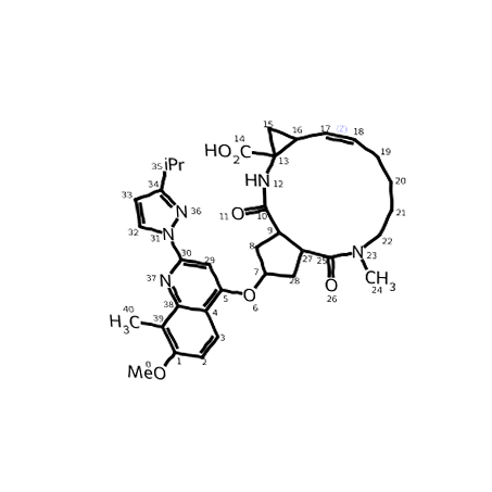 COc1ccc2c(OC3CC4C(=O)NC5(C(=O)O)CC5/C=C\CCCCN(C)C(=O)C4C3)cc(-n3ccc(C(C)C)n3)nc2c1C